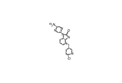 Nc1cnc(-n2c3cccn(Cc4ccc(Cl)nc4)c-3nc2=O)cn1